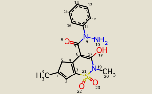 CC1=CC2=C(C1)C(C(=O)N(N)c1ccccc1)=C(O)N(C)S2(=O)=O